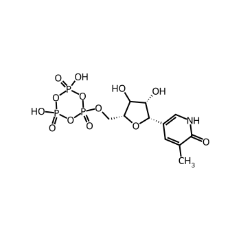 Cc1cc([C@@H]2O[C@H](COP3(=O)OP(=O)(O)OP(=O)(O)O3)C(O)[C@@H]2O)c[nH]c1=O